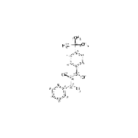 CC(C)(C)c1ccc([S+]([O-])[C@H](Cl)[C@H](Cl)c2ccccc2)cc1